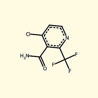 NC(=O)c1c(Cl)ccnc1C(F)(F)F